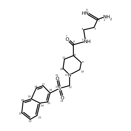 N=C(N)CCNC(=O)C1CCN(CS(=O)(=O)c2ccc3ccccc3c2)CC1